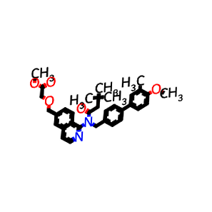 COC(=O)COCc1ccc2c(N(Cc3ccc(-c4ccc(OC)c(C)c4)cc3)C(=O)CC(C)(C)C)nccc2c1